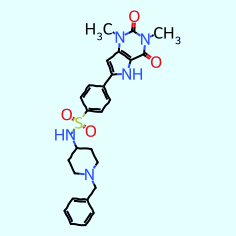 Cn1c(=O)c2[nH]c(-c3ccc(S(=O)(=O)NC4CCN(Cc5ccccc5)CC4)cc3)cc2n(C)c1=O